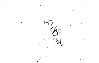 Cc1c(-c2cccc(F)c2)sc2nc(C(C)NN)cc(=O)n12